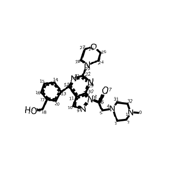 CN1CCN(CC(=O)n2ncc3c(-c4cccc(CO)c4)nc(N4CCOCC4)nc32)CC1